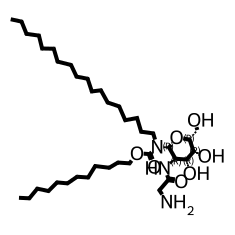 CCCCCCCCCCCCCCCCCCN(C(=O)OCCCCCCCCCCCC)[C@@H]1O[C@H](CO)[C@H](O)[C@H](O)[C@H]1NC(=O)CN